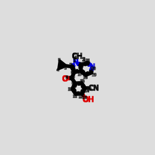 Cn1c(C2CC2)c(C(=O)c2ccc(O)c(C#N)c2)c2ccncc21